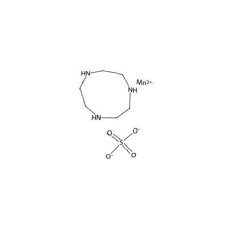 C1CNCCNCCN1.O=S(=O)([O-])[O-].[Mn+2]